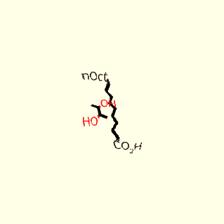 CC(O)C(C)O.CCCCCCCCC=CCCCCCCCC(=O)O